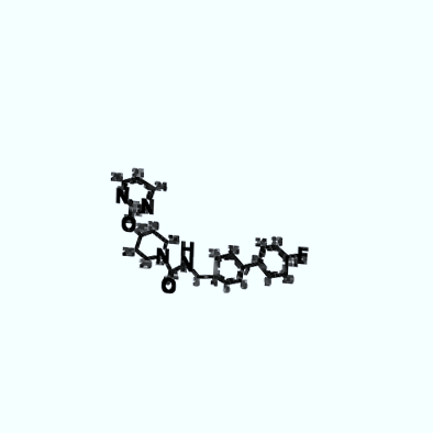 O=C(NCc1ccc(-c2ccc(F)cc2)cc1)N1CCC(Oc2ncccn2)CC1